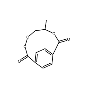 CC1COOC(=O)c2ccc(cc2)C(=O)O1